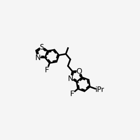 CC(C)c1cc(F)c2nc(CCC(C)c3cc(F)c4ncsc4c3)oc2c1